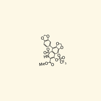 COC(=O)C1=C(OS(=O)(=O)C(F)(F)F)c2cc3c(c(-c4ccc5c(c4)OCO5)c2S(=O)(=O)N1)OCO3